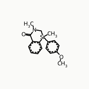 COc1ccc([Si]2(C)CN(C)C(=O)c3ccccc32)cc1